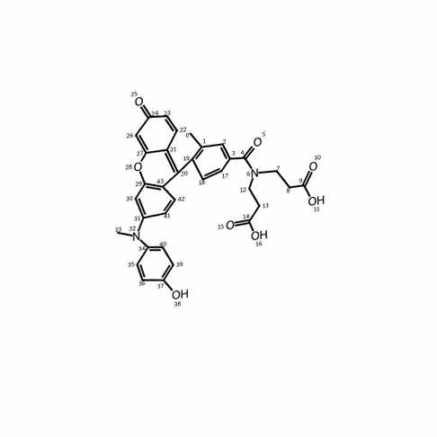 Cc1cc(C(=O)N(CCC(=O)O)CCC(=O)O)ccc1-c1c2ccc(=O)cc-2oc2cc(N(C)c3ccc(O)cc3)ccc12